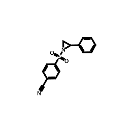 N#Cc1ccc(S(=O)(=O)N2CC2c2ccccc2)cc1